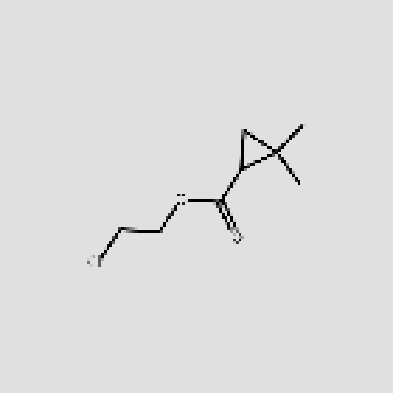 CC1(C)CC1C(=O)OCCCl